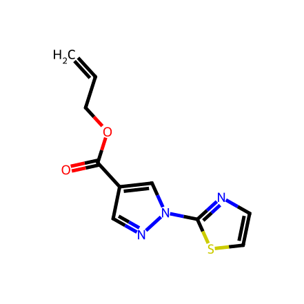 C=CCOC(=O)c1cnn(-c2nccs2)c1